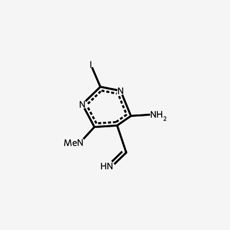 CNc1nc(I)nc(N)c1C=N